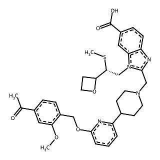 COc1cc(C(C)=O)ccc1COc1cccc(C2CCN(Cc3nc4ccc(C(=O)O)cc4n3C[C@@H](SC)C3CCO3)CC2)n1